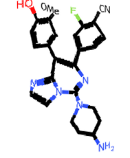 COc1cc(-c2c(-c3ccc(C#N)c(F)c3)nc(N3CCC(N)CC3)n3ccnc23)ccc1O